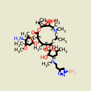 Bn1cc(CCN(C)[C@H]2CC(C)O[C@H](O[C@@H]3[C@@H](C)[C@H](O[C@H]4C[C@@](C)(OC)[C@@H](N)[C@@H](C)O4)[C@@H](C)C(=O)O[C@H](CC)[C@@](C)(O)C(O)[C@H](C)N(C)C[C@H](C)C[C@@]3(C)O)[C@@H]2O)nn1